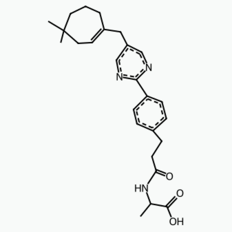 CC(NC(=O)CCc1ccc(-c2ncc(CC3=CCC(C)(C)CCC3)cn2)cc1)C(=O)O